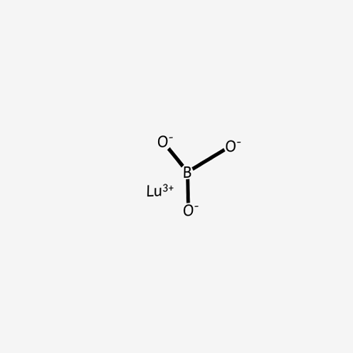 [Lu+3].[O-]B([O-])[O-]